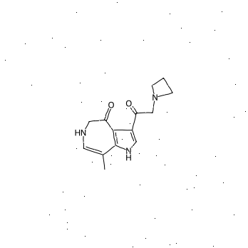 CC1=CNCC(=O)c2c(C(=O)CN3CCC3)c[nH]c21